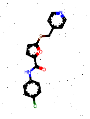 O=C(Nc1ccc(Cl)cc1)c1ccc(SCc2ccncc2)o1